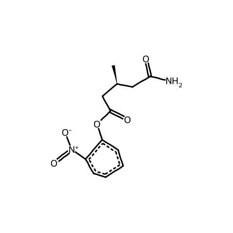 C[C@@H](CC(N)=O)CC(=O)Oc1ccccc1[N+](=O)[O-]